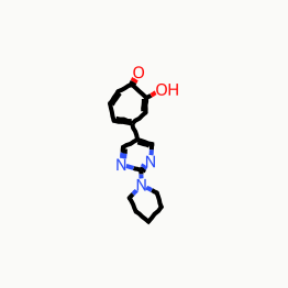 O=c1cccc(-c2cnc(N3CCCCC3)nc2)cc1O